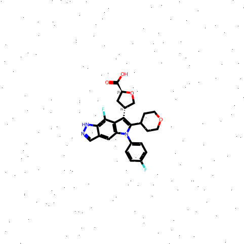 O=C(O)[C@@H]1C[C@@H](c2c(C3CCOCC3)n(-c3ccc(F)cc3)c3cc4cn[nH]c4c(F)c23)CO1